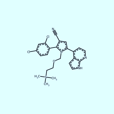 C[Si](C)(C)CCOCn1c(-c2ccnc3[nH]ccc23)cc(C#N)c1-c1ccc(Cl)cc1Cl